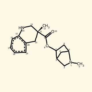 CN1CC2CC1CC2OC(=O)[C@@]1(C)CNc2ccccc2C1